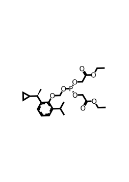 CCOC(=O)COP(OCOc1c(C(C)C)cccc1[C@H](C)C1CC1)OCC(=O)OCC